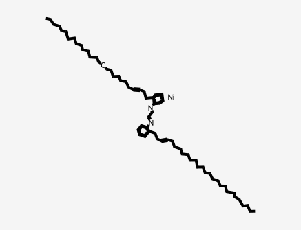 CCCCCCCCCCCCCCCCCCCCCCCC#CCCc1ccccc1N=CC=Nc1ccccc1CCC#CCCCCCCCCCCCCCCCCCCCCCCC.[Ni]